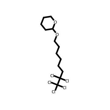 ClC(Cl)(Cl)C(Cl)(Cl)CCCCCCOC1CCCCO1